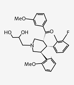 COc1cccc(C(=O)[C@H]2CN(CC(O)CO)C[C@H](c3[c]cccc3OC)[C@H]2c2cccc(F)c2C)c1